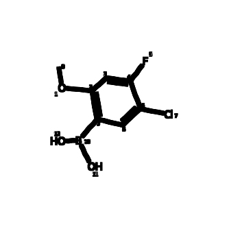 COc1cc(F)c(Cl)cc1B(O)O